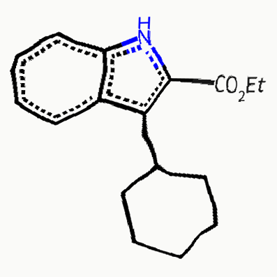 CCOC(=O)c1[nH]c2ccccc2c1C1CCCCC1